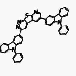 c1ccc(-n2c3ccccc3c3cc(-c4cnc5sc6nnc(-c7ccc8c(c7)c7ccccc7n8-c7ccccc7)cc6c5c4)ccc32)cc1